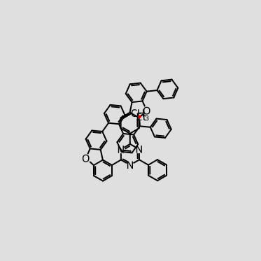 CCC(c1ccccc1)c1ccccc1-c1c(C)cccc1-c1ccc2oc3cccc(-c4nc(-c5ccccc5)nc(-c5ccc6c(c5)oc5c(-c7ccccc7)cccc56)n4)c3c2c1